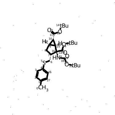 Cc1ccc(SC[C@@H]2C[C@H]3[C@H](C(=O)OC(C)(C)C)[C@H]3[C@]2(NC(=O)OC(C)(C)C)C(=O)OC(C)(C)C)cc1